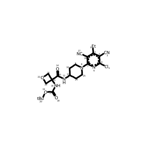 CCc1c(C#N)c(Cl)nc(N2CCC(NC(=O)C3(NC(=O)OC(C)(C)C)COC3)CC2)c1C#N